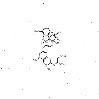 COc1ccc2c3c1O[C@H]1C(OC(=O)C[C@H](OC(C)=O)C(=O)O[C@@H](C)C(=O)O[C@H](CC(=O)O)C(=O)O)=CC[C@@]4(O)[C@@H](C2)C(C)CC[C@]314